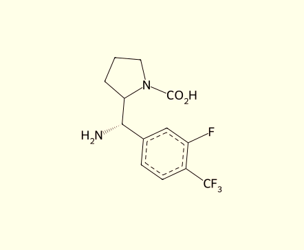 N[C@@H](c1ccc(C(F)(F)F)c(F)c1)C1CCCN1C(=O)O